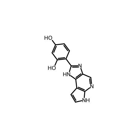 Oc1ccc(-c2nc3cnc4[nH]ccc4c3[nH]2)c(O)c1